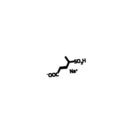 CC(C=CC(=O)[O-])S(=O)(=O)O.[Na+]